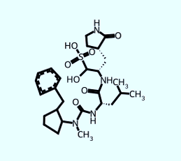 CC(C)C[C@H](NC(=O)N(C)C1CCCC1Cc1ccccc1)C(=O)N[C@@H](C[C@@H]1CCNC1=O)C(O)S(=O)(=O)O